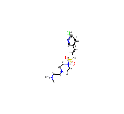 CN(C)CCN1CCN(S(=O)(=O)CC=Cc2ccc(Cl)nc2)CC1